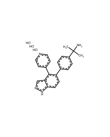 CC(C)(N)c1ccc(-c2ccc3[nH]ncc3c2-c2ccncc2)cc1.Cl.Cl.Cl